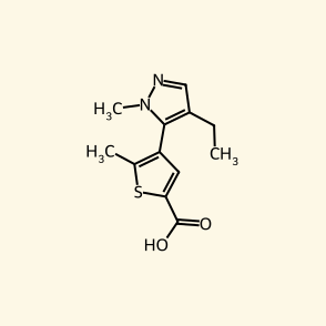 CCc1cnn(C)c1-c1cc(C(=O)O)sc1C